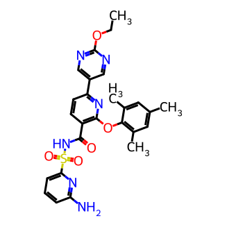 CCOc1ncc(-c2ccc(C(=O)NS(=O)(=O)c3cccc(N)n3)c(Oc3c(C)cc(C)cc3C)n2)cn1